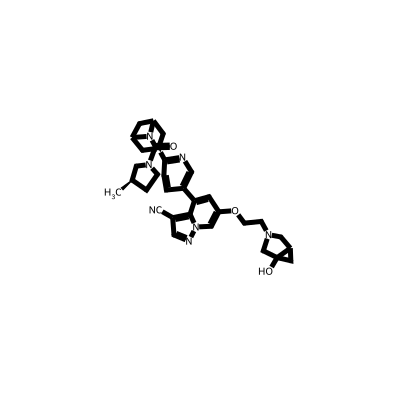 C[C@@H]1CCN(C(=O)N2C3CC2CN(c2ccc(-c4cc(OCCN5CC6CC6(O)C5)cn5ncc(C#N)c45)cn2)C3)C1